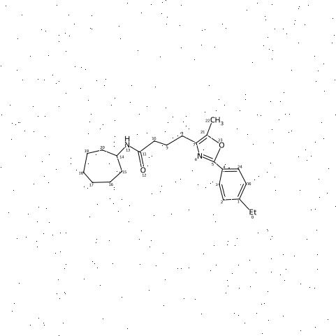 CCc1ccc(-c2nc(CCCC(=O)NC3CCCCCC3)c(C)o2)cc1